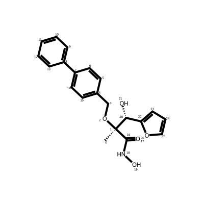 C[C@@](OCc1ccc(-c2ccccc2)cc1)(C(=O)NO)[C@H](O)c1ccco1